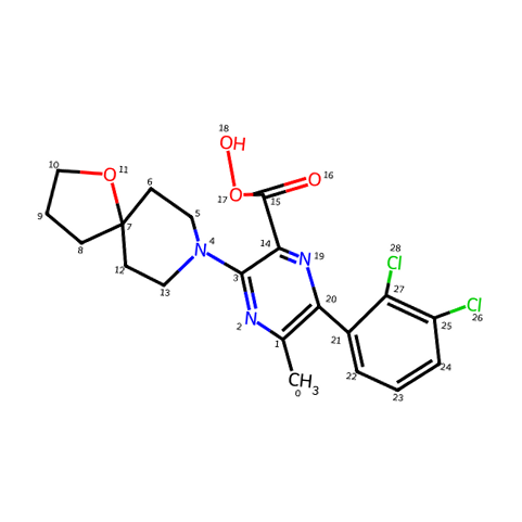 Cc1nc(N2CCC3(CCCO3)CC2)c(C(=O)OO)nc1-c1cccc(Cl)c1Cl